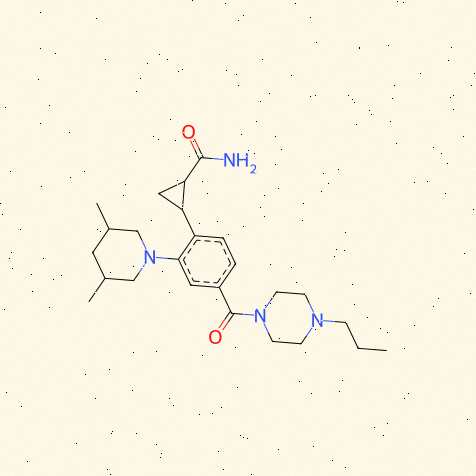 CCCN1CCN(C(=O)c2ccc(C3CC3C(N)=O)c(N3CC(C)CC(C)C3)c2)CC1